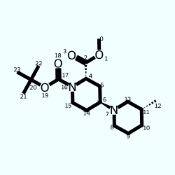 COC(=O)[C@@H]1C[C@@H](N2CCC[C@@H](C)C2)CCN1C(=O)OC(C)(C)C